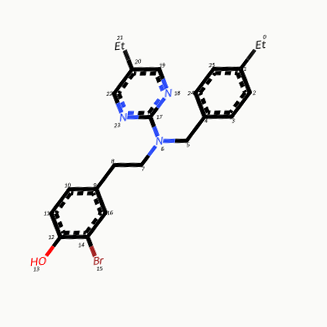 CCc1ccc(CN(CCc2ccc(O)c(Br)c2)c2ncc(CC)cn2)cc1